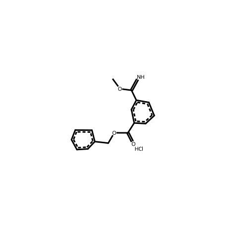 COC(=N)c1cccc(C(=O)OCc2ccccc2)c1.Cl